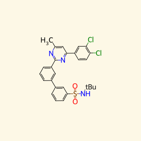 Cc1cc(-c2ccc(Cl)c(Cl)c2)nc(-c2cccc(-c3cccc(S(=O)(=O)NC(C)(C)C)c3)c2)n1